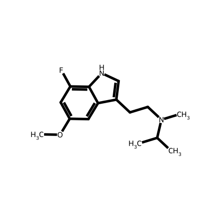 COc1cc(F)c2[nH]cc(CCN(C)C(C)C)c2c1